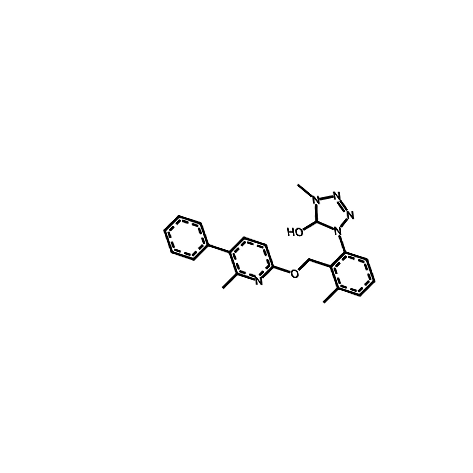 Cc1cccc(N2N=NN(C)C2O)c1COc1ccc(-c2ccccc2)c(C)n1